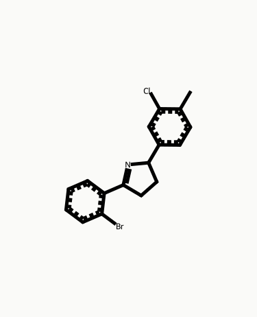 Cc1ccc(C2CCC(c3ccccc3Br)=N2)cc1Cl